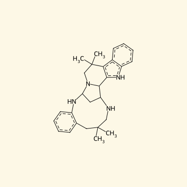 CC1(C)CNC2CC(Nc3ccccc3C1)N1CC(C)(C)c3c([nH]c4ccccc34)C21